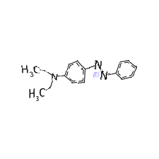 CCN(CC)c1ccc(/N=N/c2ccccc2)cc1